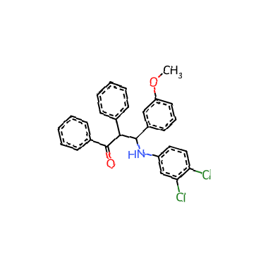 COc1cccc(C(Nc2ccc(Cl)c(Cl)c2)C(C(=O)c2ccccc2)c2ccccc2)c1